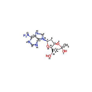 CC(C)(O)O[C@@H]1C[C@H](n2cnc3c(N)ncnc32)O[C@@H]1CO